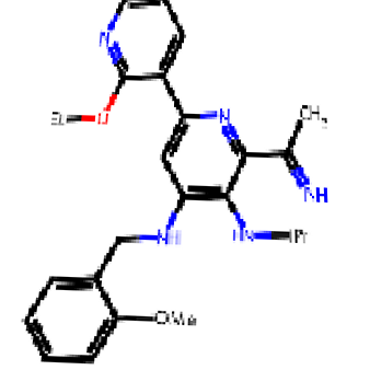 CCOc1ncccc1-c1cc(NCc2ccccc2OC)c(NC(C)C)c(C(C)=N)n1